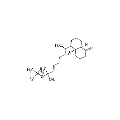 C[C@H](C/C=C/C=C/C(C)(C)O[Si](C)(C)C)[C@H]1CCC[C@H]2C(=O)CCC[C@]12C